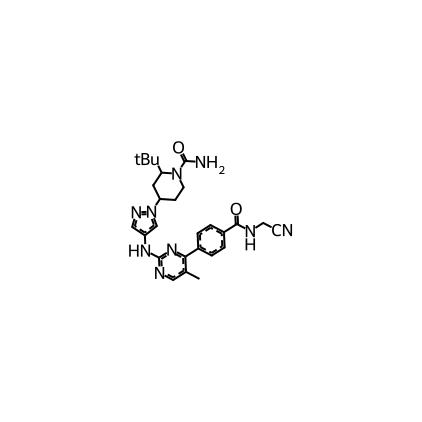 Cc1cnc(Nc2cnn(C3CCN(C(N)=O)C(C(C)(C)C)C3)c2)nc1-c1ccc(C(=O)NCC#N)cc1